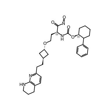 O=NC(=O)[C@H](CCO[C@H]1C[C@H](CCc2ccc3c(n2)NCCC3)C1)NC(=O)O[C@H]1CCCCC1c1ccccc1